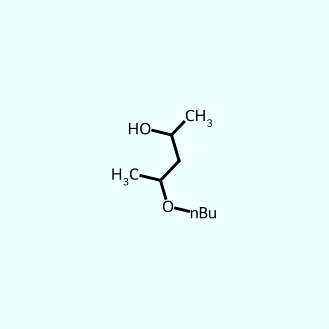 CCCCOC(C)CC(C)O